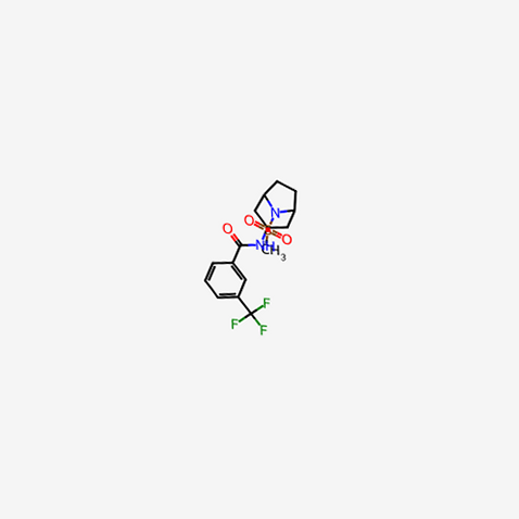 CS(=O)(=O)N1C2CCC1CC(NC(=O)c1cccc(C(F)(F)F)c1)C2